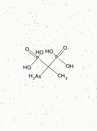 CC([AsH2])(P(=O)(O)O)P(=O)(O)O